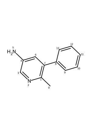 Cc1ncc(N)cc1-c1ccccc1